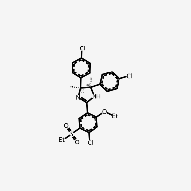 CCOc1cc(Cl)c(S(=O)(=O)CC)cc1C1=N[C@@](C)(c2ccc(Cl)cc2)[C@@](C)(c2ccc(Cl)cc2)N1